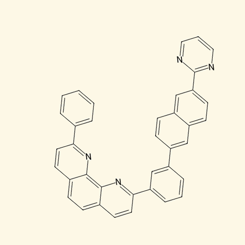 c1ccc(-c2ccc3ccc4ccc(-c5cccc(-c6ccc7cc(-c8ncccn8)ccc7c6)c5)nc4c3n2)cc1